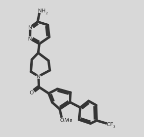 COc1cc(C(=O)N2CCC(c3ccc(N)nn3)CC2)ccc1-c1ccc(C(F)(F)F)cc1